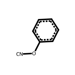 [C-]#[N+]Oc1ccccc1